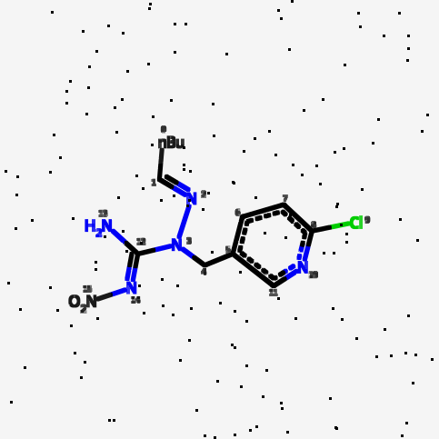 CCCCC=NN(Cc1ccc(Cl)nc1)C(N)=N[N+](=O)[O-]